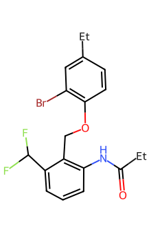 CCC(=O)Nc1cccc(C(F)F)c1COc1ccc(CC)cc1Br